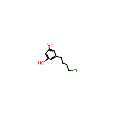 Oc1cc(O)cc(CCCCCl)c1